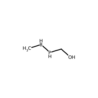 CBPCO